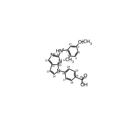 COc1ccc(C)c(Nc2ncc3ccn(-c4ccc(C(=O)O)cc4)c3n2)c1